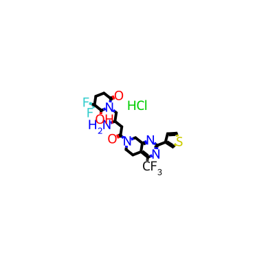 Cl.NC(CC(=O)N1CCc2c(nc(-c3ccsc3)nc2C(F)(F)F)C1)CN1C(=O)CCC(F)(F)C1O